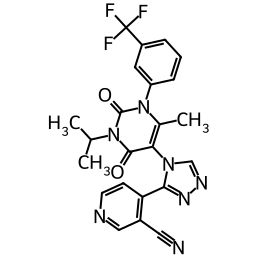 Cc1c(-n2cnnc2-c2ccncc2C#N)c(=O)n(C(C)C)c(=O)n1-c1cccc(C(F)(F)F)c1